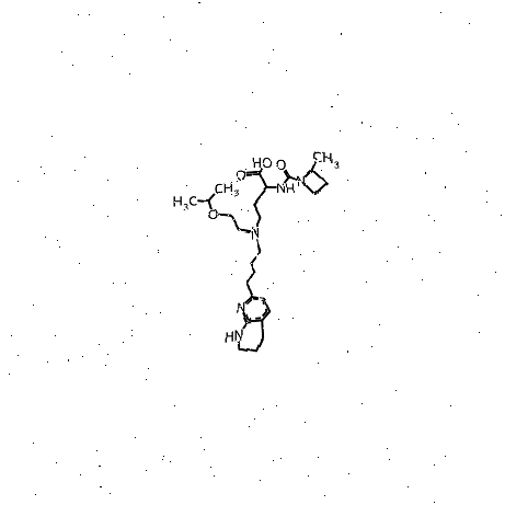 CC(C)OCCN(CCCCc1ccc2c(n1)NCCC2)CCC(NC(=O)N1CCC1C)C(=O)O